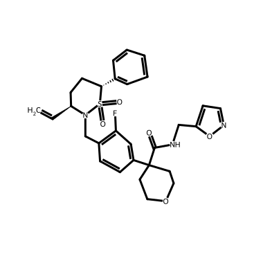 C=C[C@H]1CC[C@H](c2ccccc2)S(=O)(=O)N1Cc1ccc(C2(C(=O)NCc3ccno3)CCOCC2)cc1F